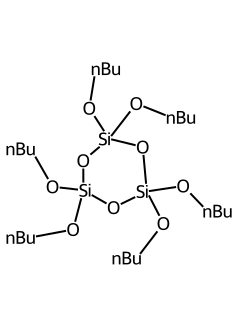 CCCCO[Si]1(OCCCC)O[Si](OCCCC)(OCCCC)O[Si](OCCCC)(OCCCC)O1